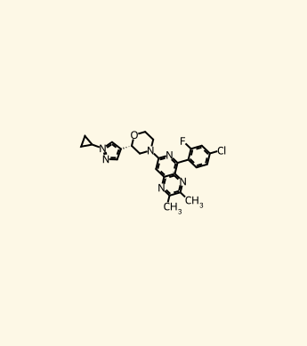 Cc1nc2cc(N3CCO[C@@H](c4cnn(C5CC5)c4)C3)nc(-c3ccc(Cl)cc3F)c2nc1C